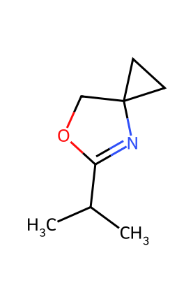 CC(C)C1=NC2(CC2)CO1